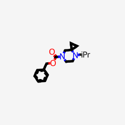 CC(C)N1CCN(C(=O)OCc2ccccc2)CC12CC2